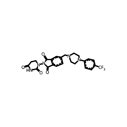 O=C1CCN(N2C(=O)c3ccc(CN4CCN(c5ccc(C(F)(F)F)cc5)CC4)cc3C2=O)C(=O)N1